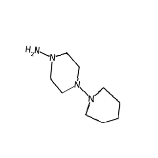 NN1CCN(N2CCCCC2)CC1